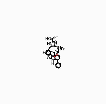 CC(C)C(O)C(=O)N[C@H]1Cc2ccc3c(c2)C2(c4cccc(-c5ccccc5)c4NC2O3)c2oc(nc2C(=O)O)[C@H](C(C)C)NC1=O